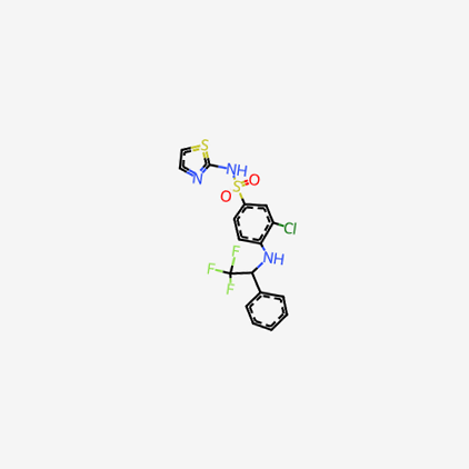 O=S(=O)(Nc1nccs1)c1ccc(NC(c2ccccc2)C(F)(F)F)c(Cl)c1